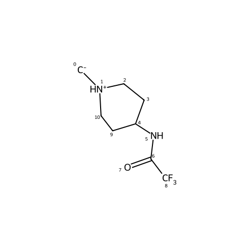 [CH2-][NH+]1CCC(NC(=O)C(F)(F)F)CC1